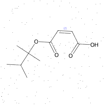 CC(C)C(C)(C)OC(=O)/C=C\C(=O)O